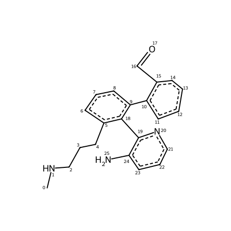 CNCCCc1cccc(-c2ccccc2C=O)c1-c1ncccc1N